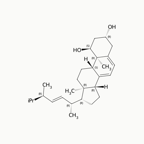 CC(C)[C@@H](C)C=C[C@@H](C)[C@H]1CC[C@H]2C3=CC=C4C[C@@H](O)C[C@H](O)[C@]4(C)[C@H]3CC[C@]12C